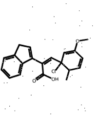 COC1=CC(Cl)(C=C(C(=O)O)C2=CCc3ccccc32)C(C)C=C1